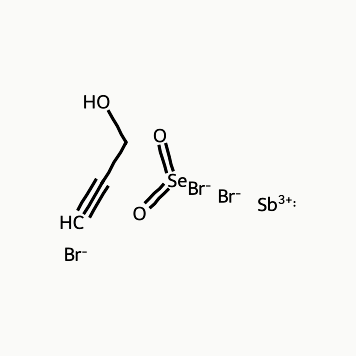 C#CCO.O=[Se]=O.[Br-].[Br-].[Br-].[Sb+3]